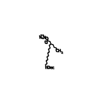 C=CCCC(CCCCCCCCCCCCCCCCCCCCC)CC(=O)On1ccnc1